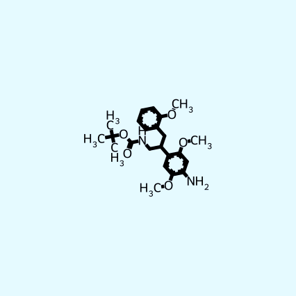 COc1cc(C(CNC(=O)OC(C)(C)C)Cc2ccccc2OC)c(OC)cc1N